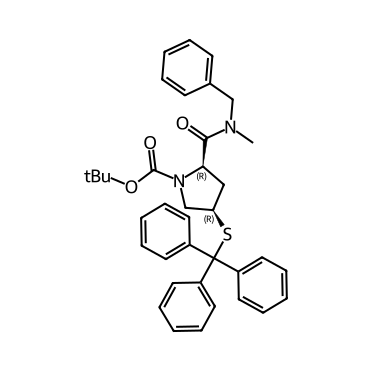 CN(Cc1ccccc1)C(=O)[C@H]1C[C@@H](SC(c2ccccc2)(c2ccccc2)c2ccccc2)CN1C(=O)OC(C)(C)C